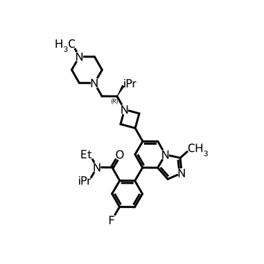 CCN(C(=O)c1cc(F)ccc1-c1cc(C2CN([C@@H](CN3CCN(C)CC3)C(C)C)C2)cn2c(C)ncc12)C(C)C